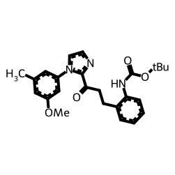 COc1cc(C)cc(-n2ccnc2C(=O)CCc2ccccc2NC(=O)OC(C)(C)C)c1